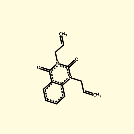 C=CCn1c(=O)c2ccccc2n(CC=C)c1=O